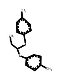 CCC(Sc1ccc(C)cc1)Sc1ccc(C)cc1